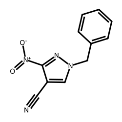 N#Cc1cn(Cc2ccccc2)nc1[N+](=O)[O-]